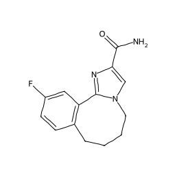 NC(=O)c1cn2c(n1)-c1cc(F)ccc1CCCC2